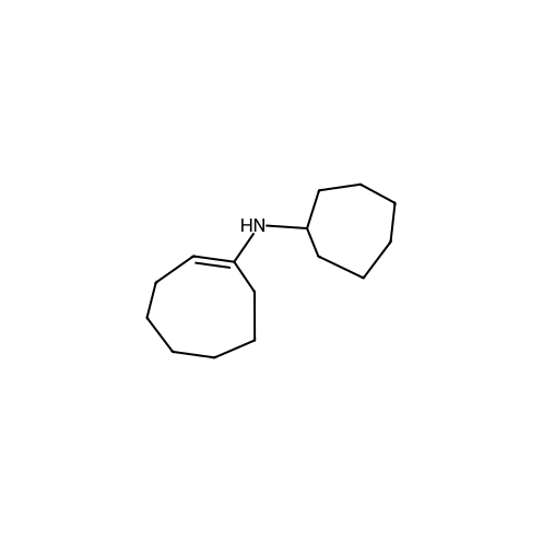 C1=C(/NC2CCCCCC2)CCCCCC/1